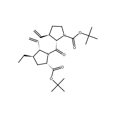 C=C[C@H]1CCN(C(=O)OC(C)(C)C)[C@@H]1C(=O)N1[C@H](C(=O)OC(C)(C)C)C[C@@H](CC)[C@@H]1C=C